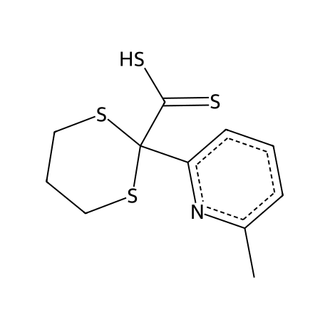 Cc1cccc(C2(C(=S)S)SCCCS2)n1